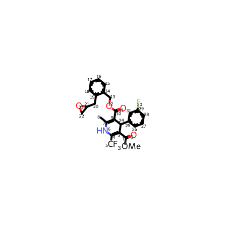 COC(=O)C1=C(C(F)(F)F)NC(C)=C(C(=O)OCc2ccccc2CC2CO2)C1c1cccc(F)c1